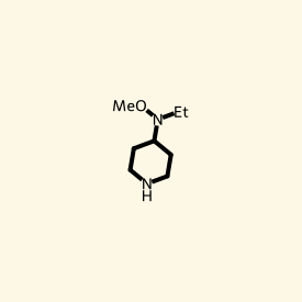 CCN(OC)C1CCNCC1